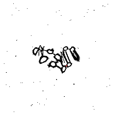 c1ccc(-c2cccc3c2c2ccccc2n3-c2cc(-c3cccc(-c4nc5ccccc5n4-c4ccccc4)c3)cc3c4ccccc4c4ccccc4c23)cc1